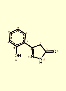 O=C1CC(c2ccccc2O)=NN1